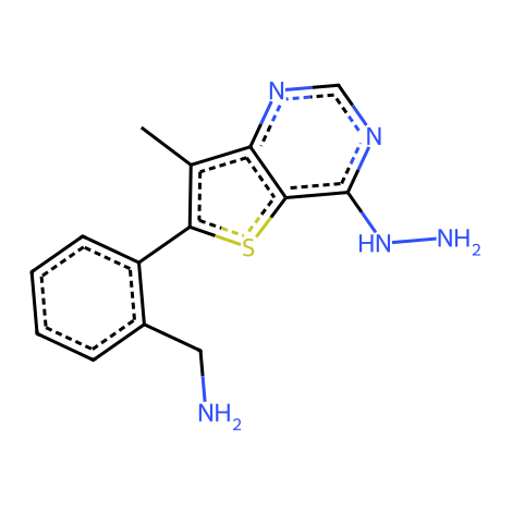 Cc1c(-c2ccccc2CN)sc2c(NN)ncnc12